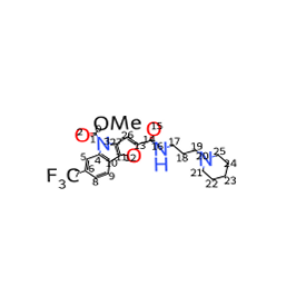 COC(=O)n1c2cc(C(F)(F)F)ccc2c2oc(C(=O)NCCCN3CCCCC3)cc21